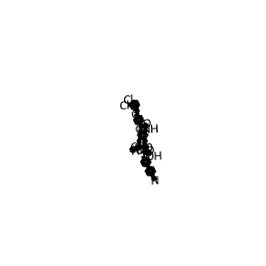 CC(C)(C)OC(=O)N1Cc2cc3c(cc2CC1C(=O)N[C@@H](Cc1ccc(-c2ccc(C#N)cc2)cc1)C(=O)O)NC(=O)C(c1ccc(OCc2ccc(Cl)c(Cl)c2)cc1)O3